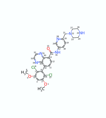 COc1cc(OC)c(Cl)c(-c2ccc(C(=O)Nc3ccc(CN4CCNCC4)nc3)c3nccnc23)c1Cl